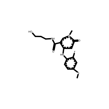 CSc1ccc(Nc2cc(=O)n(C)cc2C(=O)NCCCO)c(F)c1